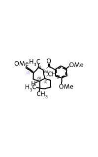 CO/C=C1/C[C@H]2C(C)(C)CCC[C@]2(C)[C@@H](C(=O)c2cc(OC)cc(OC)c2)[C@@H]1C